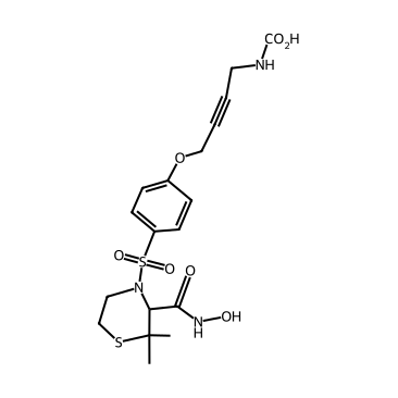 CC1(C)SCCN(S(=O)(=O)c2ccc(OCC#CCNC(=O)O)cc2)C1C(=O)NO